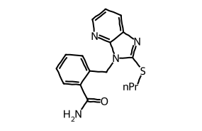 CCCSc1nc2cccnc2n1Cc1ccccc1C(N)=O